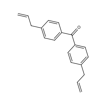 C=CCc1ccc(C(=O)c2ccc(CC=C)cc2)cc1